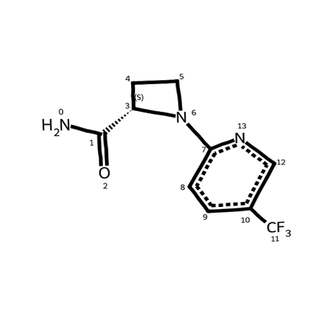 NC(=O)[C@@H]1CCN1c1ccc(C(F)(F)F)cn1